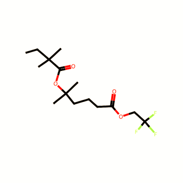 CCC(C)(C)C(=O)OC(C)(C)CCCC(=O)OCC(F)(F)F